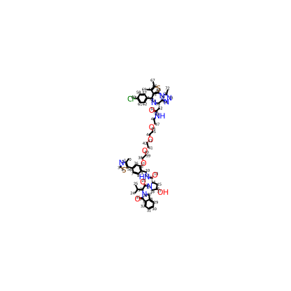 Cc1ncsc1-c1ccc(CNC(=O)[C@@H]2C[C@@H](O)CN2C(=O)C(C(C)C)N2Cc3ccccc3C2=O)c(OCCOCCOCCOCCNC(=O)C[C@@H]2N=C(c3ccc(Cl)cc3)c3c(sc(C)c3C)-n3c(C)nnc32)c1